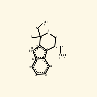 CC(=O)O.CC1(CO)OCCc2c1[nH]c1ccccc21